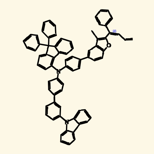 C=C/C=C(/c1ccccc1)c1oc2ccc(-c3ccc(N(c4ccc(-c5cccc(-n6c7ccccc7c7ccccc76)c5)cc4)c4cccc5c4-c4ccccc4C5(c4ccccc4)c4ccccc4)cc3)cc2c1C